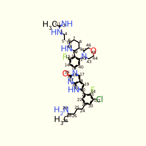 CC(=N)NCC[C@@H]1CCC[C@@H](c2c(F)cc(-n3cc4cc(-c5cc(CCC[C@H](C)N)cc(Cl)c5F)[nH]c4nc3=O)cc2N2CCOCC2)N1